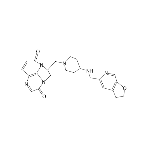 O=c1cnc2ccc(=O)n3c2n1CC3CN1CCC(NCc2cc3c(cn2)OCC3)CC1